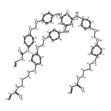 C=COC(=O)Oc1ccc(OCOc2ccc(Nc3nc(Nc4ccc(OCOc5ccc(OCCCCOC(=O)C=C)cc5)cc4)nc(Nc4ccc(OCOc5ccc(OCCCCOC(=O)C=C)cc5)cc4)n3)cc2)cc1